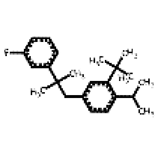 CC(C)c1ccc(CC(C)(C)c2cccc(F)c2)cc1C(C)(C)C